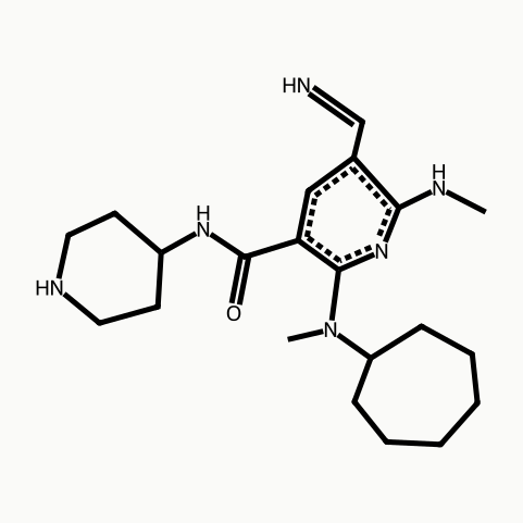 CNc1nc(N(C)C2CCCCCC2)c(C(=O)NC2CCNCC2)cc1C=N